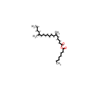 CCCCCCCC(=O)OC(=O)CCCCC(C)CCCCCCCC(C)CCCC